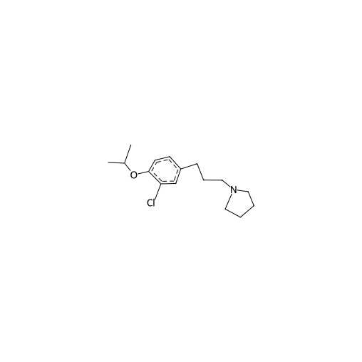 CC(C)Oc1ccc(CCCN2CCCC2)cc1Cl